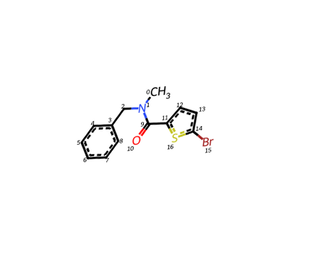 CN(Cc1ccccc1)C(=O)c1ccc(Br)s1